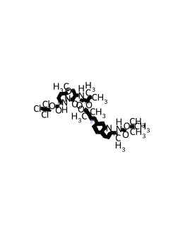 COCC(NC(=O)[C@@H](OC(=O)C(C)(C)/C=C/c1ccc2ccc([C@@H](C)NC(=O)OC(C)(C)C)nc2c1)C(C)C)C(=O)N1CCC[C@@H](C(=O)OCC(Cl)(Cl)Cl)N1